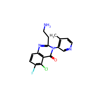 Cc1ccncc1-n1c(CCN)nc2ccc(F)c(Cl)c2c1=O